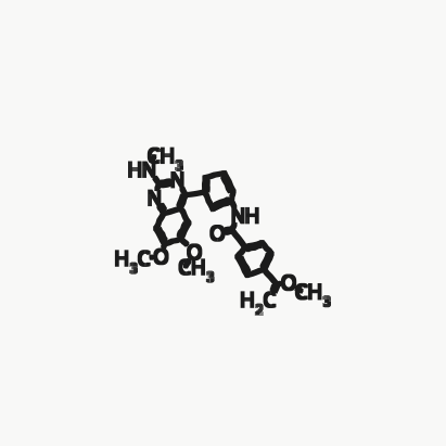 C=C(OC)c1ccc(C(=O)Nc2cccc(-c3nc(NC)nc4cc(OC)c(OC)cc34)c2)cc1